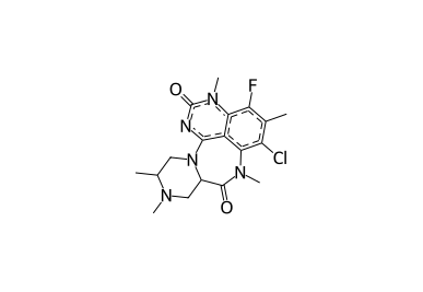 Cc1c(Cl)c2c3c(nc(=O)n(C)c3c1F)N1CC(C)N(C)CC1C(=O)N2C